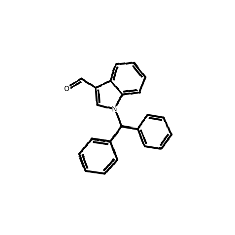 O=Cc1cn(C(c2ccccc2)c2ccccc2)c2ccccc12